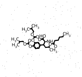 CCCCCC(=O)OC(C)CC(c1ccc(OC(=O)OCC(C)C)c(OC(=O)OCC(C)C)c1)[C@H](N)C(=O)O